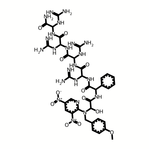 COc1ccc(CN(c2ncc([N+](=O)[O-])cc2[N+](=O)[O-])C(O)C(=O)NC(C(=O)NC(NC(=N)N)C(=O)NC(NC(=N)N)C(=O)NC(NC(=N)N)C(=O)NC(NC(=N)N)C(N)=O)c2ccccc2)cc1